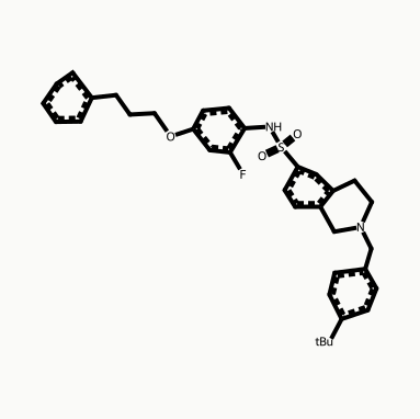 CC(C)(C)c1ccc(CN2CCc3cc(S(=O)(=O)Nc4ccc(OCCCc5ccccc5)cc4F)ccc3C2)cc1